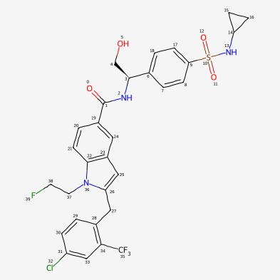 O=C(N[C@@H](CO)c1ccc(S(=O)(=O)NC2CC2)cc1)c1ccc2c(c1)cc(Cc1ccc(Cl)cc1C(F)(F)F)n2CCF